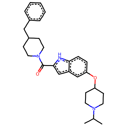 CC(C)N1CCC(Oc2ccc3[nH]c(C(=O)N4CCC(Cc5ccccc5)CC4)cc3c2)CC1